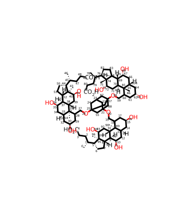 C[C@H](CCC(=O)O)[C@H]1CC[C@H]2[C@@H]3[C@H](O)C[C@@H]4C[C@H](O)CC(COC56CC7CC(OCC8C[C@@H](O)C[C@H]9C[C@@H](O)[C@@H]%10[C@H](C[C@H](O)[C@]%11(C)[C@@H]([C@H](C)CCC(=O)O)CC[C@@H]%10%11)[C@@]89C)(C5)CC(OCC5C[C@@H](O)C[C@H]8C[C@@H](O)[C@@H]9[C@H](C[C@H](O)[C@]%10(C)[C@@H]([C@H](C)CCC(=O)O)CC[C@@H]9%10)[C@@]58C)(C7)C6)[C@]4(C)[C@H]3C[C@H](O)[C@]12C